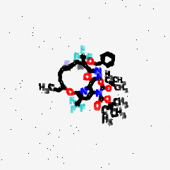 CCC1CC/C=C/C[C@](OCc2ccccc2)(C(F)(F)F)c2nnc(o2)-c2nc(c(C(F)(F)F)cc2N(C(=O)OC(C)(C)C)C(=O)OC(C)(C)C)O1